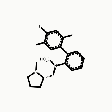 CN1CCC[C@H]1CN(C(=O)O)c1ccccc1-c1cc(F)c(F)cc1F